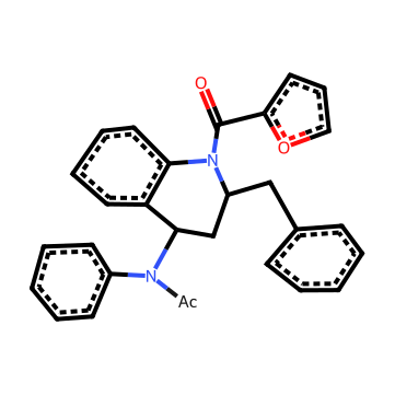 CC(=O)N(c1ccccc1)C1CC(Cc2ccccc2)N(C(=O)c2ccco2)c2ccccc21